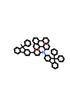 CC1(c2ccccc2)c2ccccc2-c2ccc(-c3ccc(N(c4ccc5c(c4)C(c4ccccc4)(c4ccccc4)c4ccccc4-5)c4ccccc4-c4cccc5cccc(-c6ccccc6)c45)cc3)cc21